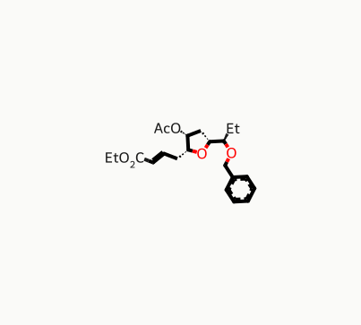 CCOC(=O)/C=C/C[C@H]1O[C@@H]([C@@H](CC)OCc2ccccc2)C[C@H]1OC(C)=O